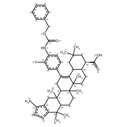 CC1(C)CC2C3=C(c4ccc(NC(=O)OCc5ccccc5)c(F)c4)CC4C5(C)Cc6c(n[nH]c6N)C(C)(C)C5CCC4(C)C3(C)CCC2[C@H](C(=O)O)C1